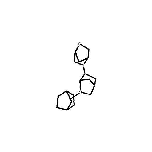 C1CC2CCC1CC2N1CC2CC(N3CC4CC3CO4)C1C2